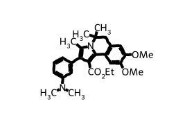 CCOC(=O)c1c(-c2cccc(N(C)C)c2)c(C)n2c1-c1cc(OC)c(OC)cc1CC2(C)C